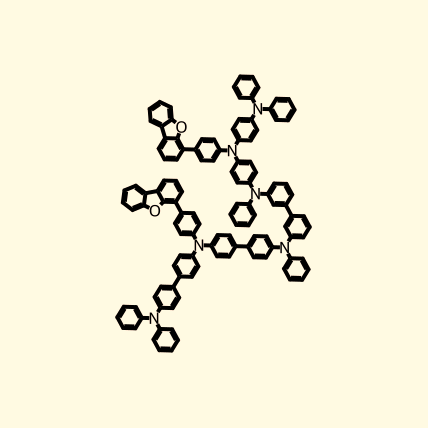 c1ccc(N(c2ccccc2)c2ccc(-c3ccc(N(c4ccc(-c5ccc(N(c6ccccc6)c6cccc(-c7cccc(N(c8ccccc8)c8ccc(N(c9ccc(-c%10cccc%11c%10oc%10ccccc%10%11)cc9)c9ccc(N(c%10ccccc%10)c%10ccccc%10)cc9)cc8)c7)c6)cc5)cc4)c4ccc(-c5cccc6c5oc5ccccc56)cc4)cc3)cc2)cc1